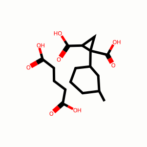 CC1CCCC(C2(C(=O)O)CC2C(=O)O)C1.O=C(O)CCCC(=O)O